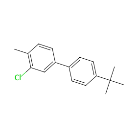 Cc1ccc(-c2ccc(C(C)(C)C)cc2)cc1Cl